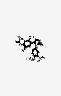 C=C(Oc1cc(O)c(-c2cnc(S)n2-c2ccc(OC)c(N(C)C)c2)cc1C(C)C)N(C)C